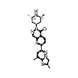 Cc1cn2nc(-c3ccc4c(=O)n(C5C[C@H](C)N[C@@H](C)C5)ncc4n3)cc(C)c2n1